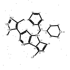 Cc1nnn(C)c1-c1cnc2c(c1)N([C@H](c1ccccc1)C1CCOCC1)C1C=CC(F)=C21